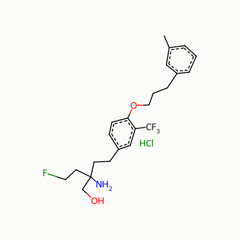 Cc1cccc(CCCOc2ccc(CCC(N)(CO)CCF)cc2C(F)(F)F)c1.Cl